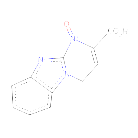 O=C(O)C1=CCn2c(nc3ccccc32)[N+]1=O